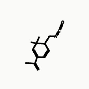 C=C(C)C1=CC(C)(C)C(CN=C=O)C=C1